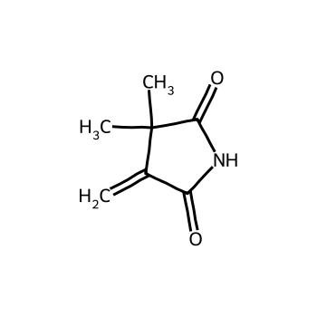 C=C1C(=O)NC(=O)C1(C)C